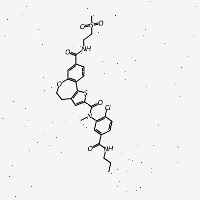 CCCNC(=O)c1ccc(Cl)c(N(C)C(=O)c2cc3c(s2)-c2ccc(C(=O)NCCS(C)(=O)=O)cc2OCC3)c1